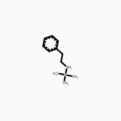 C[Si](C)(C)[SiH2]CCc1ccccc1